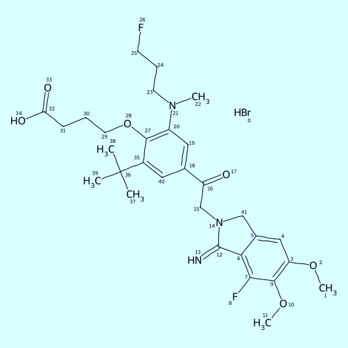 Br.COc1cc2c(c(F)c1OC)C(=N)N(CC(=O)c1cc(N(C)CCCF)c(OCCCC(=O)O)c(C(C)(C)C)c1)C2